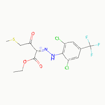 CCOC(=O)/C(=N\Nc1c(Cl)cc(C(F)(F)F)cc1Cl)C(=O)CSC